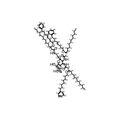 CCCCCCCCCCC[C@H](CC(=O)NCCO[C@@H]1OC(CO)[C@@H](OS(=O)(=O)O)C(NC(=O)C[C@@H](CCCCCCCCCCC)OCCCCCCCCc2ccccc2)C1NC(=O)C[C@@H](CCCCCCCCCCC)OCCCCCCCCc1ccccc1)OCCCCCCCCc1ccccc1